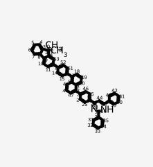 CC1(C)c2ccccc2-c2ccc(-c3ccc(-c4cccc5c(-c6ccc(C7=NC(c8ccccc8)NC(c8ccccc8)=C7)cc6)cccc45)cc3)cc21